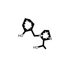 CC(O)c1nccn1Cc1ccccc1O